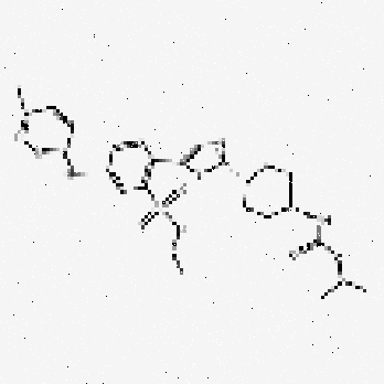 CCNS(=O)(=O)c1cc(Nc2ccc(C)nn2)ccc1-c1cnc([C@H]2CC[C@H](NC(=O)OC(C)C)CC2)s1